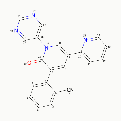 N#Cc1ccccc1-c1cc(-c2ccccn2)cn(-c2cncnc2)c1=O